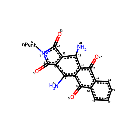 CCCCCn1c(=O)c2c(N)c3c(=O)c4ccccc4c(=O)c3c(N)c2c1=O